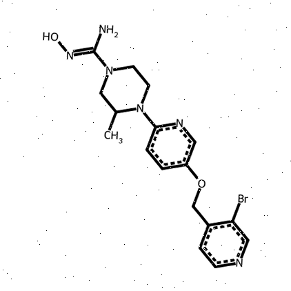 CC1CN(C(N)=NO)CCN1c1ccc(OCc2ccncc2Br)cn1